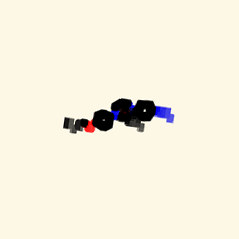 CCOc1ccc(N2CC3CN(c4ccc(N)cc4)CC2C(C)(C)C3)cc1